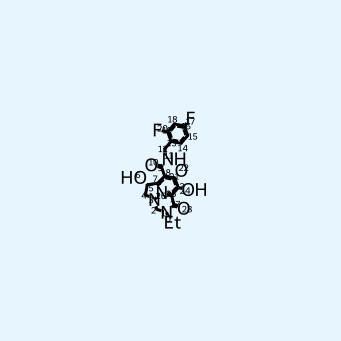 CCN1CN2CC(O)c3c(C(=O)NCc4ccc(F)cc4F)c(=O)c(O)c(n32)C1=O